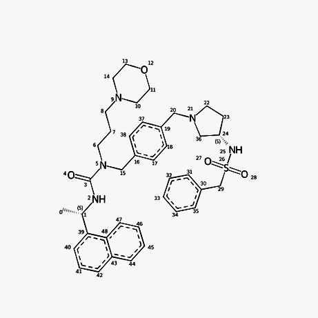 C[C@H](NC(=O)N(CCCN1CCOCC1)Cc1ccc(CN2CC[C@H](NS(=O)(=O)Cc3ccccc3)C2)cc1)c1cccc2ccccc12